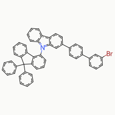 Brc1cccc(-c2ccc(-c3ccc4c5ccccc5n(-c5cccc6c5-c5ccccc5C6(c5ccccc5)c5ccccc5)c4c3)cc2)c1